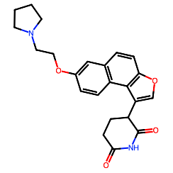 O=C1CCC(c2coc3ccc4cc(OCCN5CCCC5)ccc4c23)C(=O)N1